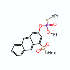 CCCCCCS(=O)(=O)c1cc(OP(=O)(OCC)SCCC)cc2cc3ccccc3cc12